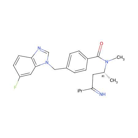 CC(C)C(=N)C[C@@H](C)N(C)C(=O)c1ccc(Cn2cnc3ccc(F)cc32)cc1